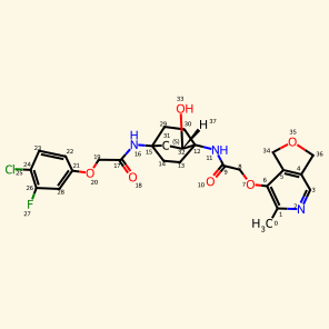 Cc1ncc2c(c1OCC(=O)NC13CCC(NC(=O)COc4ccc(Cl)c(F)c4)(CC1)C[C@@H]3O)COC2